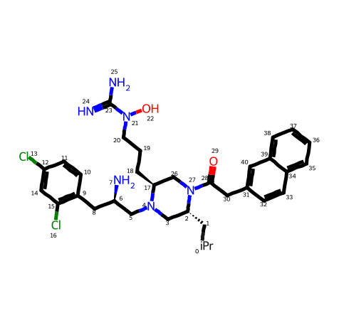 CC(C)C[C@@H]1CN(C[C@H](N)Cc2ccc(Cl)cc2Cl)[C@@H](CCCN(O)C(=N)N)CN1C(=O)Cc1ccc2ccccc2c1